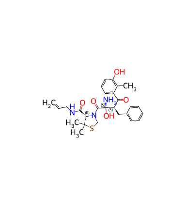 C=CCNC(=O)[C@H]1N(C(=O)[C@@](N)(O)[C@H](Cc2ccccc2)C(=O)c2cccc(O)c2C)CSC1(C)C